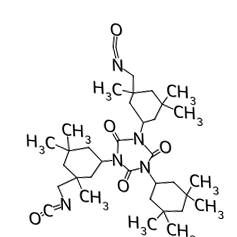 CC1(C)CC(n2c(=O)n(C3CC(C)(C)CC(C)(CN=C=O)C3)c(=O)n(C3CC(C)(C)CC(C)(CN=C=O)C3)c2=O)CC(C)(C)C1